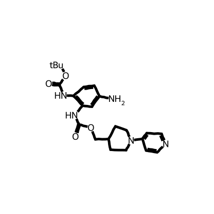 CC(C)(C)OC(=O)Nc1ccc(N)cc1NC(=O)OCC1CCN(c2ccncc2)CC1